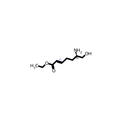 CCOC(=O)/C=C/CC[C@@H](N)CO